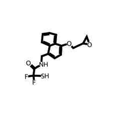 O=C(NCc1ccc(OCC2CO2)c2ccccc12)C(F)(F)S